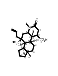 C=CCC1(C(=O)O)CC2N(C)C(=O)CC(C(=O)O)[C@]2(C)[C@@H]2CC[C@]3(C)CCC[C@H]3[C@@H]21